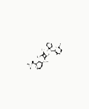 CN(C)C(=O)c1nccc(Nc2c(N[C@@H](c3nc(CF)ccc3F)C3(C)CCCC3)c(=O)c2=O)c1O